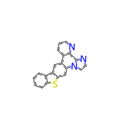 c1ccc2c(c1)sc1cc3c(cc12)c1cccnc1c1nccn31